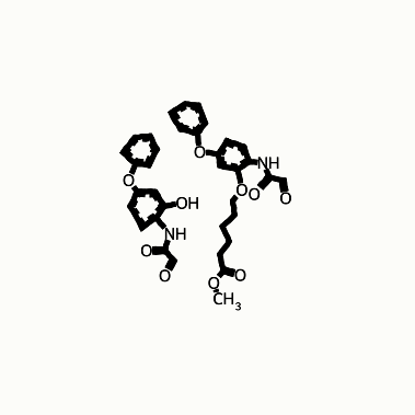 COC(=O)CCCCCOc1cc(Oc2ccccc2)ccc1NC(=O)C=O.O=CC(=O)Nc1ccc(Oc2ccccc2)cc1O